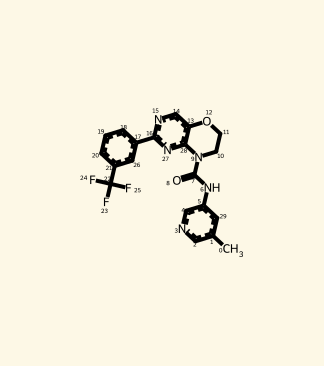 Cc1cncc(NC(=O)N2CCOc3cnc(-c4cccc(C(F)(F)F)c4)nc32)c1